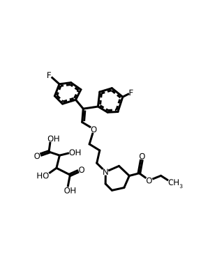 CCOC(=O)C1CCCN(CCCOC=C(c2ccc(F)cc2)c2ccc(F)cc2)C1.O=C(O)C(O)C(O)C(=O)O